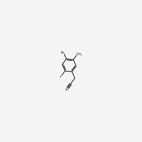 Cc1cc(CC#N)c(F)cc1Br